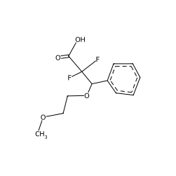 COCCOC(c1ccccc1)C(F)(F)C(=O)O